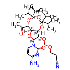 CC(=O)C1O[Si](C(C)C)(C(C)C)O[Si](C(C)C)(C(C)C)O[C@H]2[C@@H](OCOCCC#N)[C@H](n3ccc(N)nc3=O)O[C@H]12